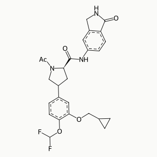 CC(=O)N1CC(c2ccc(OC(F)F)c(OCC3CC3)c2)C[C@@H]1C(=O)Nc1ccc2c(c1)CNC2=O